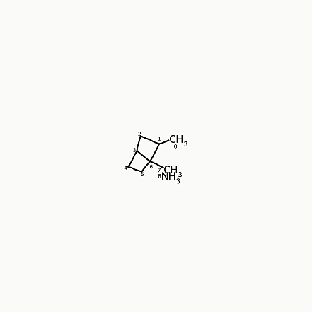 CC1CC2CCC12C.N